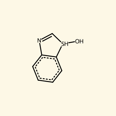 O[SH]1C=Nc2ccccc21